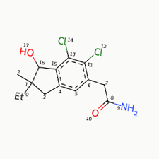 CCC1(C)Cc2cc(CC(N)=O)c(Cl)c(Cl)c2C1O